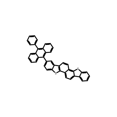 c1ccc(-c2c3ccccc3c(-c3ccc4sc5c(ccc6c5ccc5c7ccccc7sc56)c4c3)c3ccccc23)cc1